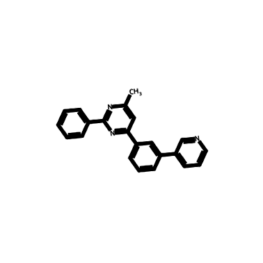 Cc1cc(-c2cccc(-c3cccnc3)c2)nc(-c2ccccc2)n1